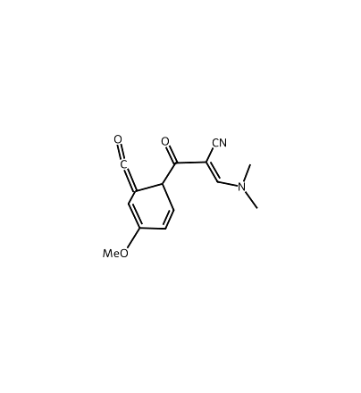 COC1=CC(=C=O)C(C(=O)C(C#N)=CN(C)C)C=C1